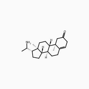 CC(N)[C@H]1CC[C@H]2[C@@H]3CCC4=CCC(=O)C[C@]4(C)[C@H]3CC[C@]12C